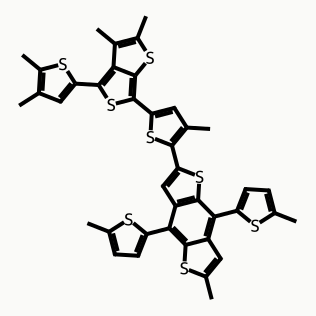 Cc1ccc(-c2c3cc(-c4sc(-c5sc(-c6cc(C)c(C)s6)c6c(C)c(C)sc56)cc4C)sc3c(-c3ccc(C)s3)c3cc(C)sc23)s1